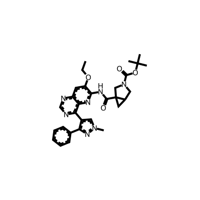 CCOc1cc2ncnc(-c3cn(C)nc3-c3ccccc3)c2nc1NC(=O)C12CC1CN(C(=O)OC(C)(C)C)C2